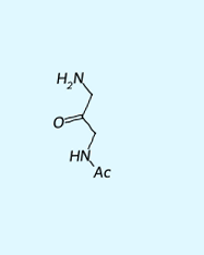 CC(=O)NCC(=O)CN